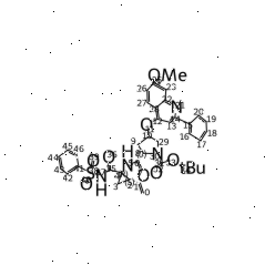 C=C[C@@H]1C[C@]1(NC(=O)[C@@H]1CC(Oc2cc(-c3ccccc3)nc3cc(OC)ccc23)CN1C(=O)OC(C)(C)C)C(=O)NS(=O)(=O)c1ccccc1